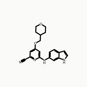 N#Cc1cc(OCC2CCOCC2)cc(Nc2ccc3cc[nH]c3c2)n1